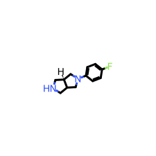 Fc1ccc(N2CC3CNC[C@H]3C2)cc1